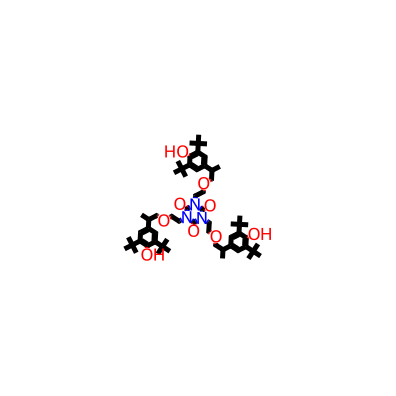 CC(COCCn1c(=O)n(CCOCC(C)c2cc(C(C)(C)C)c(O)c(C(C)(C)C)c2)c(=O)n(CCOCC(C)c2cc(C(C)(C)C)c(O)c(C(C)(C)C)c2)c1=O)c1cc(C(C)(C)C)c(O)c(C(C)(C)C)c1